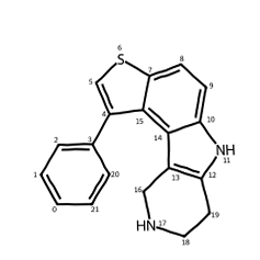 c1ccc(-c2csc3ccc4[nH]c5c(c4c23)CNCC5)cc1